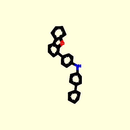 c1ccc(-c2ccc(Nc3ccc(-c4cccc5c4oc4ccccc45)cc3)cc2)cc1